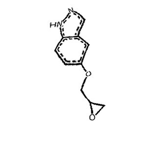 c1cc2[nH]ncc2cc1OCC1CO1